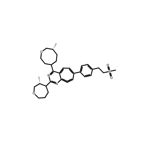 C[C@@H]1CCC(c2nc(C3CCCOC[C@@H]3C)nc3c2=CC=C(c2ccc(CCS(C)(=O)=O)cc2)C=C=3)CCOC1